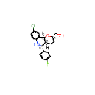 OC[C@H]1CC[C@@H]2[C@H](O1)c1cc(Cl)ccc1N[C@H]2C1C=CC(F)=CC1